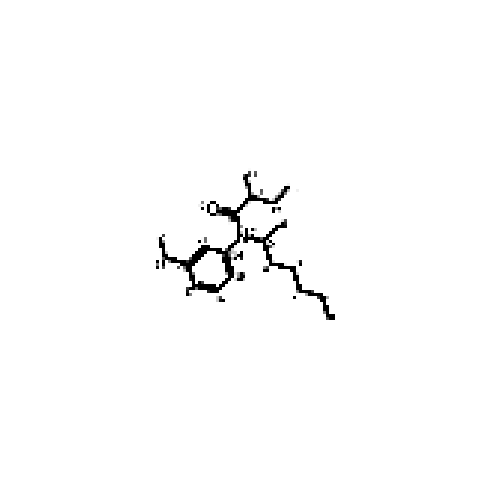 CCCCCC(C)N(C(=O)C(C)CC)c1cccc(CC)c1